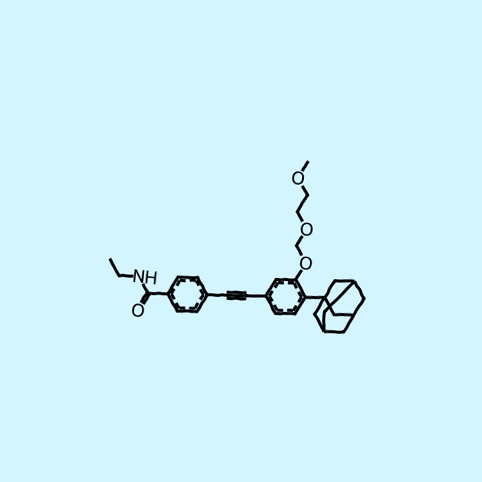 CCNC(=O)c1ccc(C#Cc2ccc(C34CC5CC(CC(C5)C3)C4)c(OCOCCOC)c2)cc1